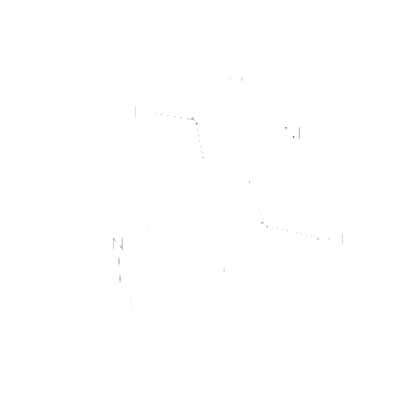 NC(CC(=O)O)C(=O)O.O=[N+]([O-])O